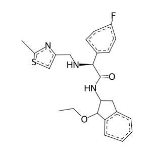 CCOC1c2ccccc2CC1NC(=O)[C@@H](NCc1csc(C)n1)c1ccc(F)cc1